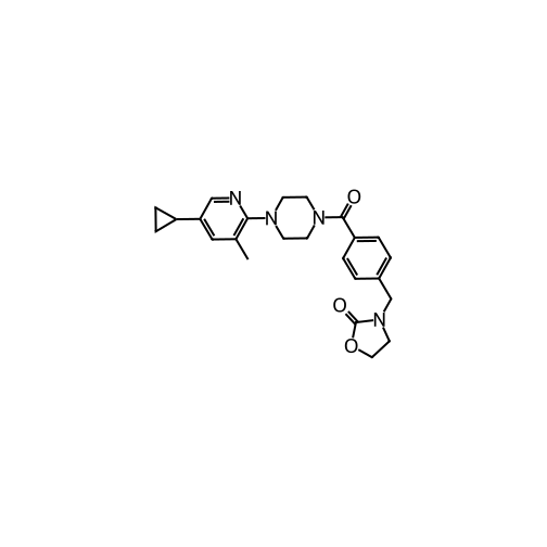 Cc1cc(C2CC2)cnc1N1CCN(C(=O)c2ccc(CN3CCOC3=O)cc2)CC1